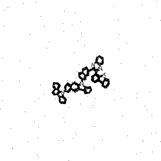 c1ccc2c(c1)ccc1c3ccccc3n(-c3ccc4cc5c(cc4c3)c3ccccc3n5-c3ccc4ccc(-c5nc6ccccc6nc5-c5cccc6c5sc5ccccc56)cc4c3)c21